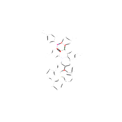 Cc1cc(N(c2ccc(C(C)(C)C)cc2)c2ccc(C(C)(C)C)cc2)c(Cl)c(N(c2ccc(S(c3ccccc3)(c3ccccc3)c3ccccc3)cc2)c2c(-c3ccccc3)cc(C(C)(C)C)cc2-c2ccccc2)c1